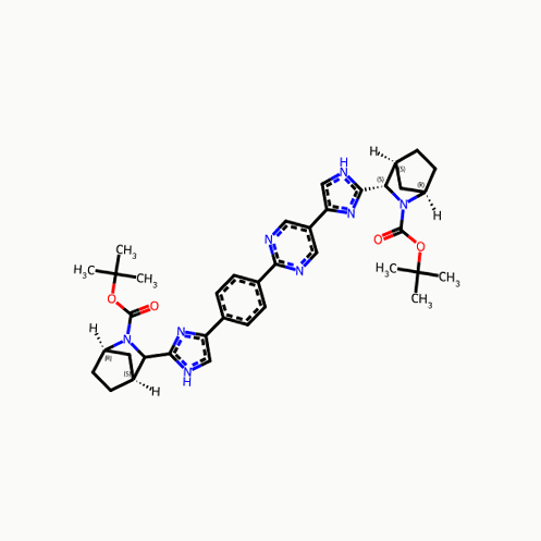 CC(C)(C)OC(=O)N1C(c2nc(-c3ccc(-c4ncc(-c5c[nH]c([C@@H]6[C@H]7CC[C@H](C7)N6C(=O)OC(C)(C)C)n5)cn4)cc3)c[nH]2)[C@H]2CC[C@@H]1C2